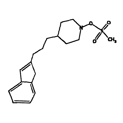 CS(=O)(=O)ON1CCC(CCCC2=Cc3ccccc3C2)CC1